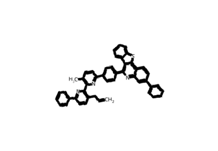 C=CCc1ccc(-c2ccccc2)nc1-c1nc(-c2ccc(-c3nc4cc(-c5ccccc5)ccc4c4sc5ccccc5c34)cc2)ccc1C